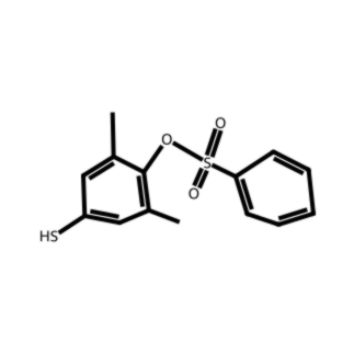 Cc1cc(S)cc(C)c1OS(=O)(=O)c1ccccc1